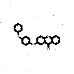 O=c1c2ccccc2sc2ccc(Sc3ccc(Sc4ccccc4)cc3)cc12